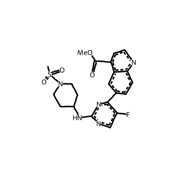 COC(=O)c1ccnc2ccc(-c3nc(NC4CCN(S(C)(=O)=O)CC4)ncc3F)cc12